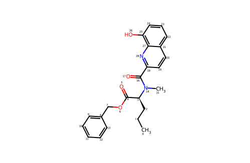 CCC[C@@H](C(=O)OCc1ccccc1)N(C)C(=O)c1ccc2cccc(O)c2n1